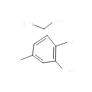 NCC(=O)O.O=Cc1cc(Cl)ccc1O